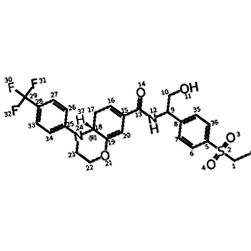 CCS(=O)(=O)c1ccc(C(CO)NC(=O)C2=CC[C@@H]3C(=C2)OCCN3c2ccc(C(F)(F)F)cc2)cc1